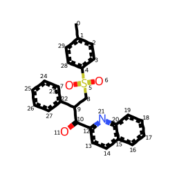 Cc1ccc(S(=O)(=O)CC(C(=O)c2ccc3ccccc3n2)c2ccccc2)cc1